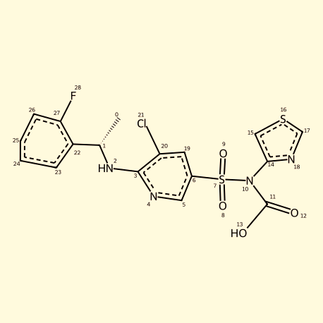 C[C@H](Nc1ncc(S(=O)(=O)N(C(=O)O)c2cscn2)cc1Cl)c1ccccc1F